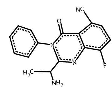 CC(N)c1nc2c(F)ccc(C#N)c2c(=O)n1-c1ccccc1